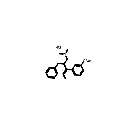 C/C=C(\c1cccc(OC)c1)C(Cc1ccccc1)CN(C)C.Cl